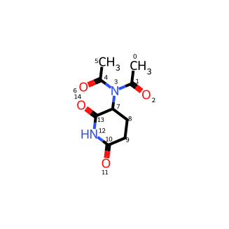 CC(=O)N(C(C)=O)C1CCC(=O)NC1=O